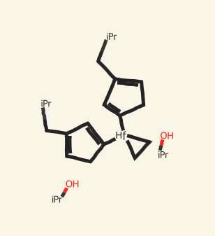 CC(C)CC1=CC[C]([Hf]2([C]3=CC(CC(C)C)=CC3)[CH2][CH2]2)=C1.CC(C)O.CC(C)O